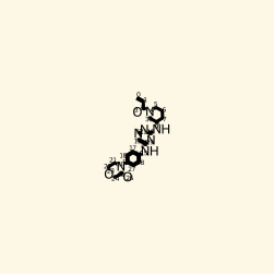 C=CC(=O)N1CCCC(Nc2nncc(Nc3ccc(N4CCOCC4=O)cc3)n2)C1